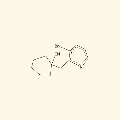 N#CC1(Cc2ncccc2Br)CCCCC1